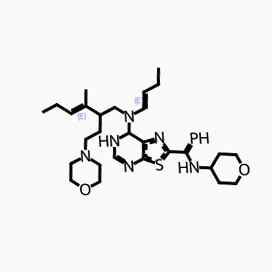 CC/C=C/N(CC(CCN1CCOCC1)/C(C)=C/CC)C1NC=Nc2sc(C(=P)NC3CCOCC3)nc21